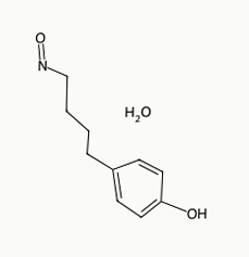 O.O=NCCCCc1ccc(O)cc1